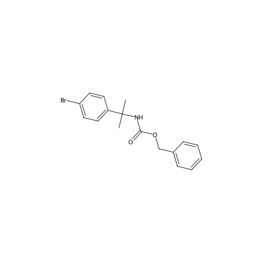 CC(C)(NC(=O)OCc1ccccc1)c1ccc(Br)cc1